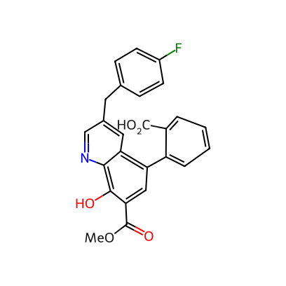 COC(=O)c1cc(-c2ccccc2C(=O)O)c2cc(Cc3ccc(F)cc3)cnc2c1O